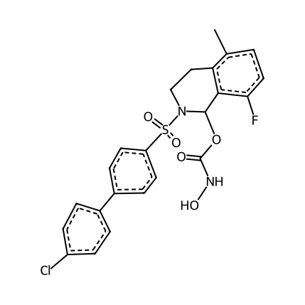 Cc1ccc(F)c2c1CCN(S(=O)(=O)c1ccc(-c3ccc(Cl)cc3)cc1)C2OC(=O)NO